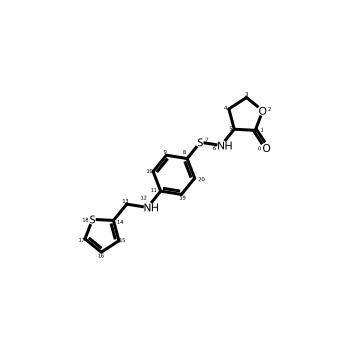 O=C1OCCC1NSc1ccc(NCc2cccs2)cc1